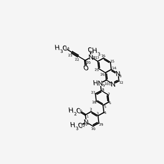 C=C1C=C(Cc2ccc(Nc3ncnc4ccc(N(C)C(=O)C#CC)cc34)cc2)C=CN1C